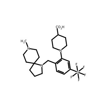 CN1CCC2(CCCN2Cc2ccc(S(F)(F)(F)(F)F)cc2N2CCC(C(=O)O)CC2)CC1